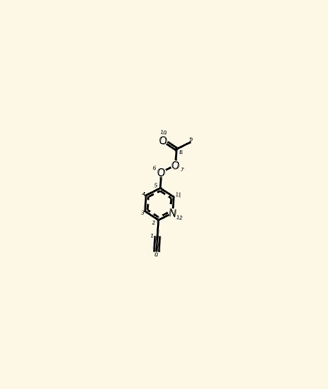 C#Cc1ccc(OOC(C)=O)cn1